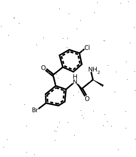 C[C@H](N)C(=O)Nc1ccc(Br)cc1C(=O)c1ccc(Cl)cc1